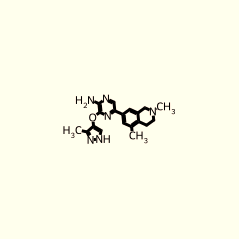 Cc1cc(-c2cnc(N)c(Oc3c[nH]nc3C)n2)cc2c1CCN(C)C2